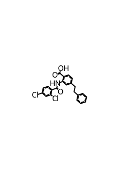 O=C(Nc1cc(CCc2ccccc2)ccc1C(=O)O)c1ccc(Cl)cc1Cl